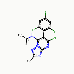 C[C@H](Nc1c(-c2c(F)cc(F)cc2F)c(Cl)nc2nc(C(F)(F)F)nn12)C(F)(F)F